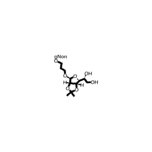 CCCCCCCCCOCCCO[C@H]1O[C@H]([C@H](O)CO)[C@@H]2OC(C)(C)O[C@H]12